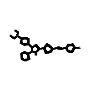 CCN(CC)c1ccc(C2C=C(c3ccc(C#Cc4ccc(Cl)cc4)cc3)NN2c2ccccc2)cc1